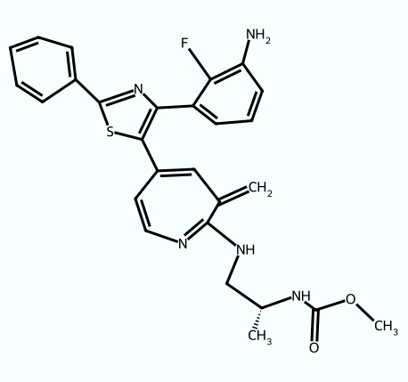 C=C1C=C(c2sc(-c3ccccc3)nc2-c2cccc(N)c2F)C=CN=C1NC[C@@H](C)NC(=O)OC